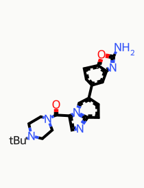 CC(C)(C)N1CCN(C(=O)c2cnc3ccc(-c4ccc5oc(N)nc5c4)cn23)CC1